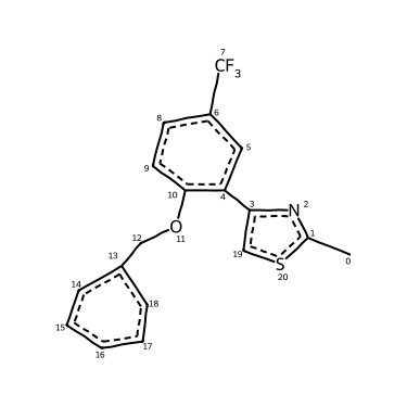 Cc1nc(-c2cc(C(F)(F)F)ccc2OCc2ccccc2)cs1